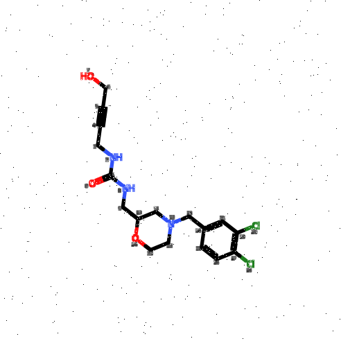 O=C(NCC#CCO)NCC1CN(Cc2ccc(Cl)c(Cl)c2)CCO1